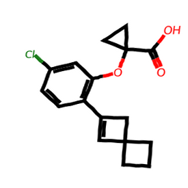 O=C(O)C1(Oc2cc(Cl)ccc2C2=CC3(CCC3)C2)CC1